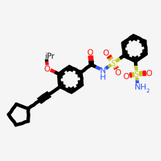 CC(C)Oc1cc(C(=O)NS(=O)(=O)c2ccccc2S(N)(=O)=O)ccc1C#CC1CCCC1